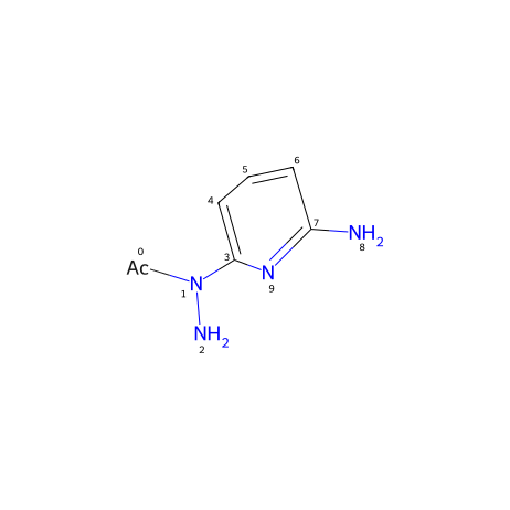 CC(=O)N(N)c1cccc(N)n1